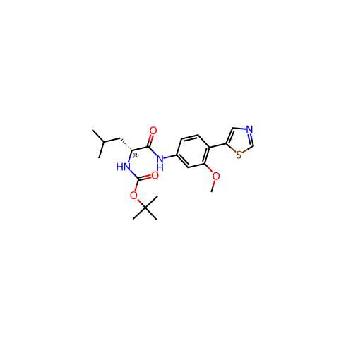 COc1cc(NC(=O)[C@@H](CC(C)C)NC(=O)OC(C)(C)C)ccc1-c1cncs1